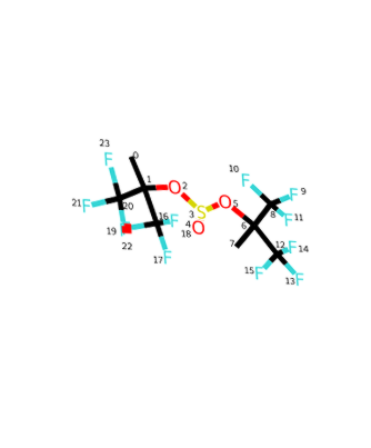 CC(OS(=O)OC(C)(C(F)(F)F)C(F)(F)F)(C(F)(F)F)C(F)(F)F